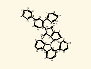 O=C1c2cccc(-n3c4ccccc4c4cccc(-c5ccncc5)c43)c2C(=O)N1c1ccc(-c2ccccc2)cc1-c1ccccc1